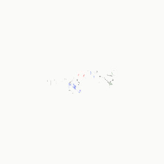 O=C(O)c1cc(OCCN2CCC(c3cc(Cl)cc(Cl)c3)CC2)cc2nccn12